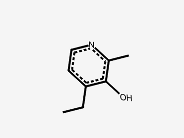 CCc1ccnc(C)c1O